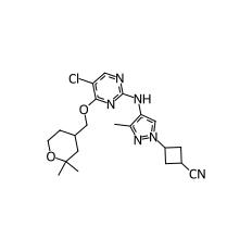 Cc1nn(C2CC(C#N)C2)cc1Nc1ncc(Cl)c(OCC2CCOC(C)(C)C2)n1